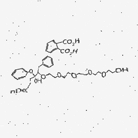 CCCCCCCCCCCCC(O)(Oc1ccccc1)C(Cc1ccccc1)OCCOCCOCCOCCOCCO.O=C(O)c1ccccc1C(=O)O